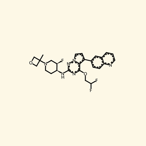 CC1(N2CC[C@H](Nc3nc(OCC(F)F)c4c(-c5ccc6ncccc6c5)ccn4n3)[C@H](F)C2)COC1